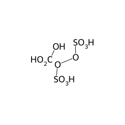 O=C(O)O.O=S(=O)(O)OOS(=O)(=O)O